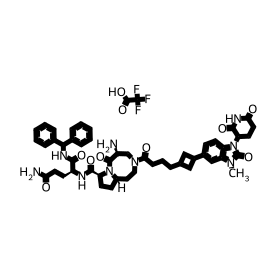 Cn1c(=O)n(C2CCC(=O)NC2=O)c2ccc(C3CC(CCCC(=O)N4CC[C@H]5CC[C@@H](C(=O)N[C@@H](CCC(N)=O)C(=O)NC(c6ccccc6)c6ccccc6)N5C(=O)[C@@H](N)C4)C3)cc21.O=C(O)C(F)(F)F